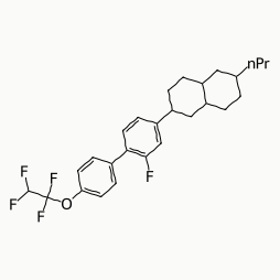 CCCC1CCC2CC(c3ccc(-c4ccc(OC(F)(F)C(F)F)cc4)c(F)c3)CCC2C1